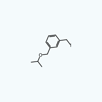 CC(C)OCc1cccc(CI)c1